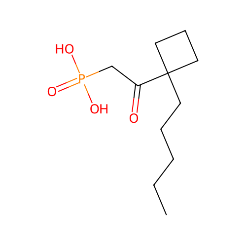 CCCCCC1(C(=O)CP(=O)(O)O)CCC1